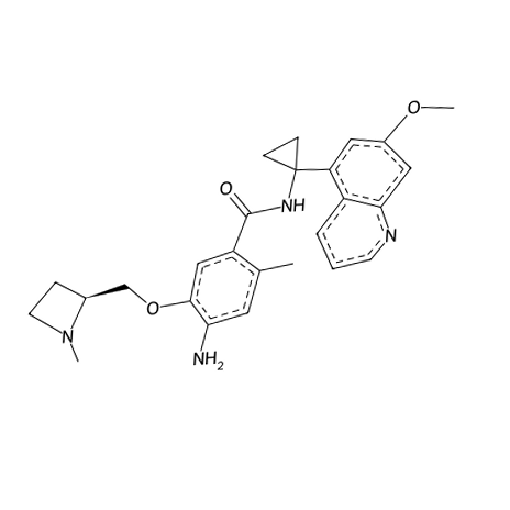 COc1cc(C2(NC(=O)c3cc(OC[C@@H]4CCN4C)c(N)cc3C)CC2)c2cccnc2c1